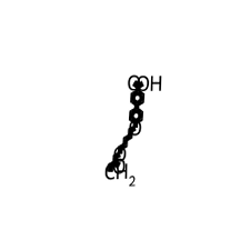 C=CC(=O)COCCCCCOC1CCC(C2CCC(C(=O)O)CC2)CC1